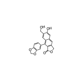 O=C1OCc2cc3cc(O)c(CO)cc3c(-c3ccc4c(c3)OCO4)c21